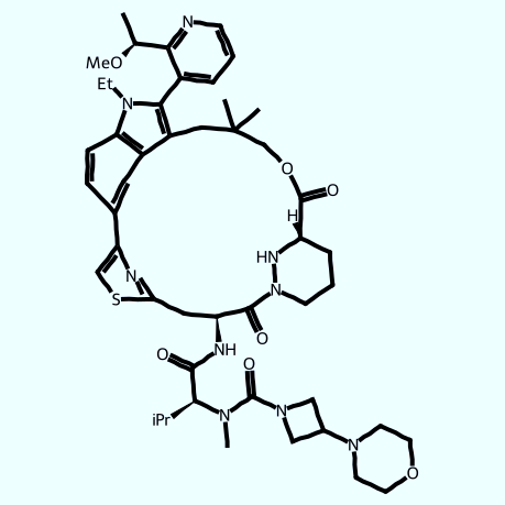 CCn1c(-c2cccnc2[C@H](C)OC)c2c3cc(ccc31)-c1csc(n1)C[C@H](NC(=O)[C@H](C(C)C)N(C)C(=O)N1CC(N3CCOCC3)C1)C(=O)N1CCC[C@H](N1)C(=O)OCC(C)(C)C2